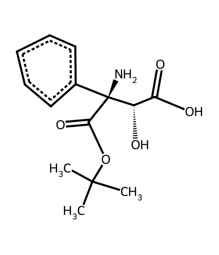 CC(C)(C)OC(=O)[C@](N)(c1ccccc1)[C@@H](O)C(=O)O